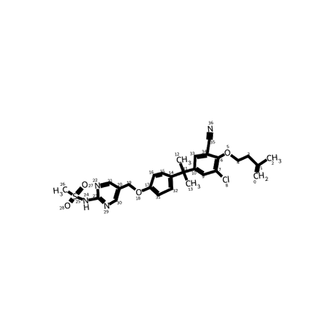 C=C(C)CCOc1c(Cl)cc(C(C)(C)c2ccc(OCc3cnc(NS(C)(=O)=O)nc3)cc2)cc1C#N